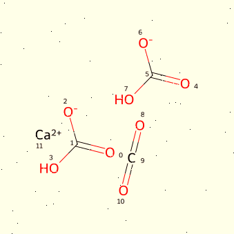 O=C([O-])O.O=C([O-])O.O=C=O.[Ca+2]